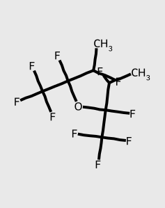 CC(F)C(F)(OC(F)(C(C)F)C(F)(F)F)C(F)(F)F